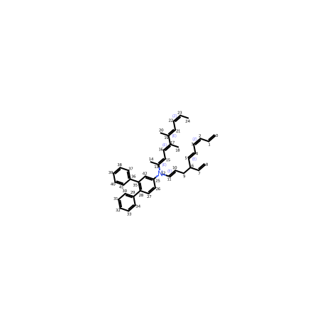 C=C/C=C\C=C\C(C=C)C/C=C/N(/C(C)=C/C=C(C)/C(C)=C/C=C\C)c1ccc(-c2ccccc2)c(-c2ccccc2)c1